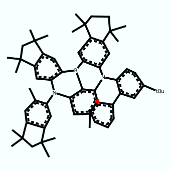 Cc1cc2c3c(c1)N(c1ccc(C(C)(C)C)cc1-c1ccccc1)c1cc4c(cc1B3c1cc3c(cc1N2c1cc2c(cc1C)C(C)(C)CC2(C)C)C(C)(C)CC3(C)C)C(C)(C)CCC4(C)C